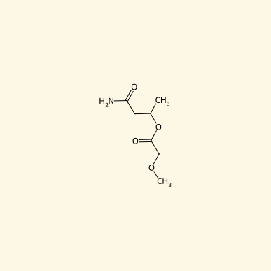 COCC(=O)OC(C)CC(N)=O